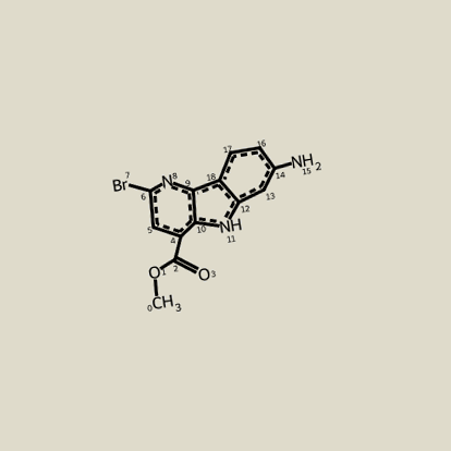 COC(=O)c1cc(Br)nc2c1[nH]c1cc(N)ccc12